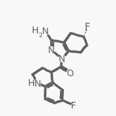 Nc1nn(C(=O)C2CCNc3ccc(F)cc32)c2c1C[C@H](F)CC2